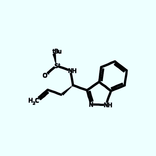 C=CC[C@H](N[S@@+]([O-])C(C)(C)C)c1n[nH]c2ccccc12